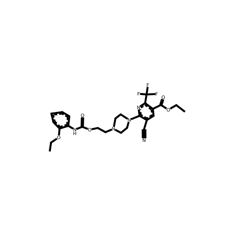 CCOC(=O)c1cc(C#N)c(N2CCN(CCOC(=O)Nc3ccccc3OCC)CC2)nc1C(F)(F)F